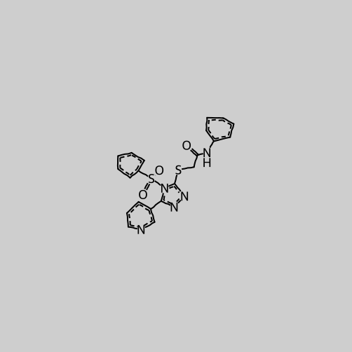 O=C(CSc1nnc(-c2cccnc2)n1S(=O)(=O)c1ccccc1)Nc1ccccc1